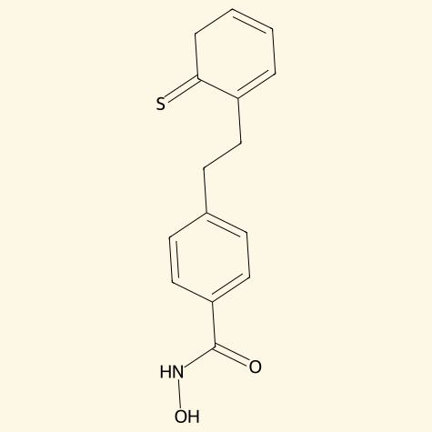 O=C(NO)c1ccc(CCC2=CC=CCC2=S)cc1